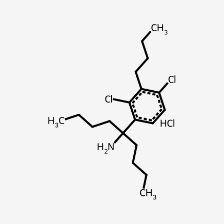 CCCCc1c(Cl)ccc(C(N)(CCCC)CCCC)c1Cl.Cl